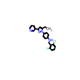 CCc1cc(-c2cccnc2)nn1-c1ccc(NCc2c(F)cccc2Cl)cc1